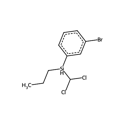 CCC[SiH](c1cccc(Br)c1)C(Cl)Cl